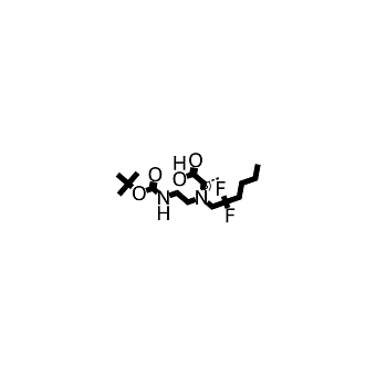 CCCCC(F)(F)CN(CCNC(=O)OC(C)(C)C)[C@@H](C)C(=O)O